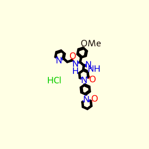 COc1ccc(C(NC(=O)Cc2ccccn2)c2n[nH]c3c2CCN(c2ccc(N4CCCCC4=O)cc2)C3=O)cc1.Cl